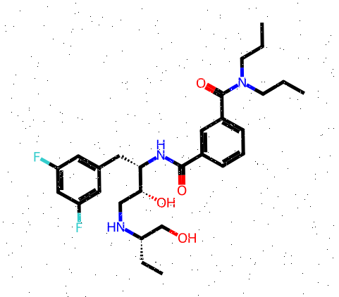 CCCN(CCC)C(=O)c1cccc(C(=O)N[C@@H](Cc2cc(F)cc(F)c2)[C@H](O)CN[C@@H](CC)CO)c1